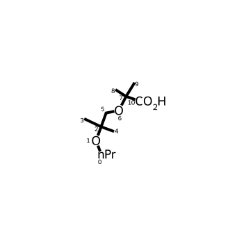 CCCOC(C)(C)COC(C)(C)C(=O)O